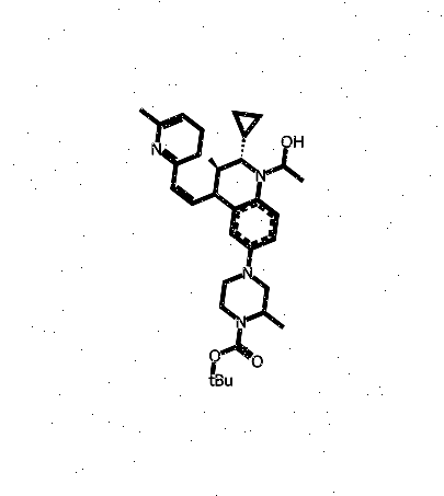 CC1=CCCC(/C=C\C2c3cc(N4CCN(C(=O)OC(C)(C)C)C(C)C4)ccc3N(C(C)O)[C@@H](C3CC3)[C@@H]2C)=N1